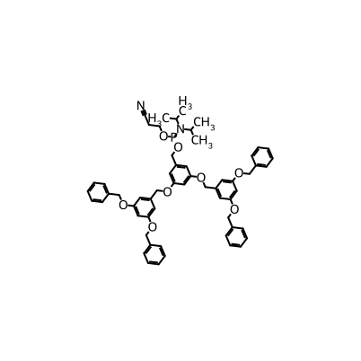 CC(C)N(C(C)C)P(OCCC#N)OCc1cc(OCc2cc(OCc3ccccc3)cc(OCc3ccccc3)c2)cc(OCc2cc(OCc3ccccc3)cc(OCc3ccccc3)c2)c1